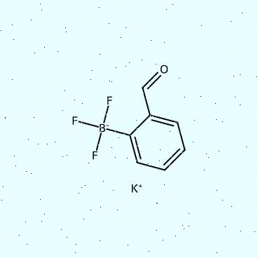 O=Cc1ccccc1[B-](F)(F)F.[K+]